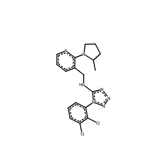 CC1CCCN1c1ncccc1CNc1nnnn1-c1cccc(Cl)c1Cl